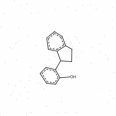 Oc1ccccc1C1CCc2ccccc21